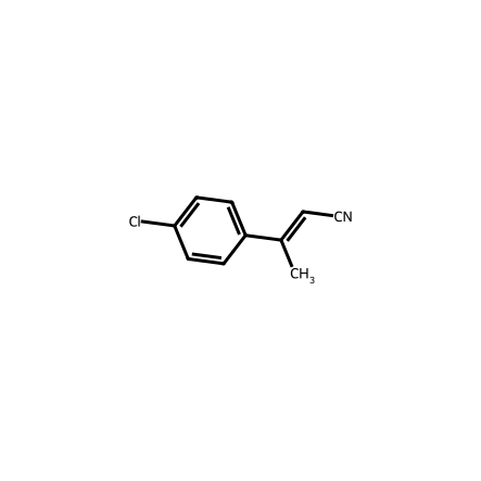 CC(=CC#N)c1ccc(Cl)cc1